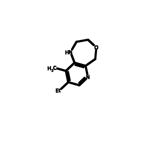 CCc1cnc2c(c1C)NCCOC2